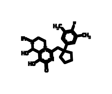 Cc1cc(C2(Cc3nc(=O)c(O)c4n3CCN(C(C)C)C4O)CCCC2)cc(C)c1F